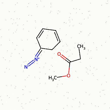 CCC(=O)OC.[N-]=[N+]=C1C=CC=CC1